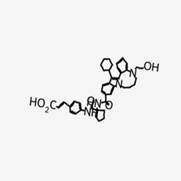 O=C(O)/C=C/c1ccc(NC(=O)C2(NC(=O)c3ccc4c(C5CCCCC5)c5n(c4c3)CCCCN(CCO)c3ccccc3-5)CCCC2)cc1